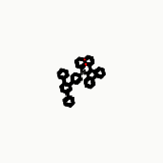 C1=CCCC(c2ccc(-c3ccccc3)cc2-c2ccc(N(c3ccccc3)c3c(-c4ccccc4)c4ccccc4c4ccccc34)cc2)=C1